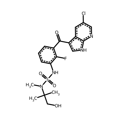 CN(C(C)(C)CO)S(=O)(=O)Nc1cccc(C(=O)c2c[nH]c3ncc(Cl)cc23)c1F